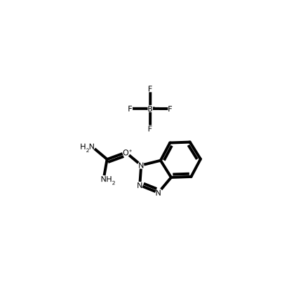 F[B-](F)(F)F.NC(N)=[O+]n1nnc2ccccc21